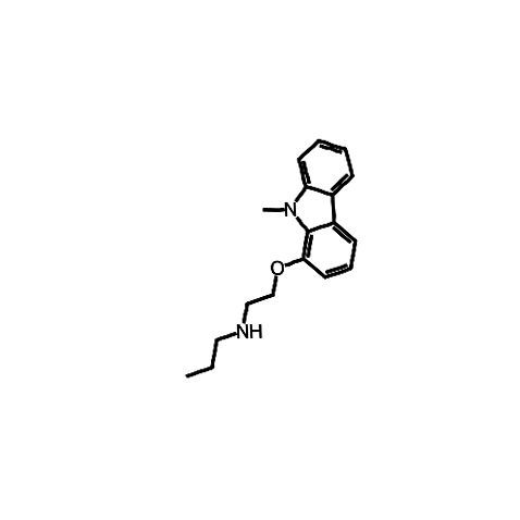 CCCNCCOc1cccc2c3ccccc3n(C)c12